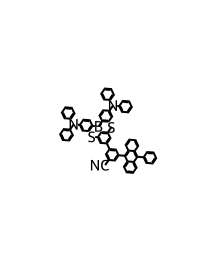 N#Cc1cc(-c2cc3c4c(c2)Sc2cc(N(c5ccccc5)c5ccccc5)ccc2B4c2ccc(N(c4ccccc4)c4ccccc4)cc2S3)cc(-c2c3ccccc3c(-c3ccccc3)c3ccccc23)c1